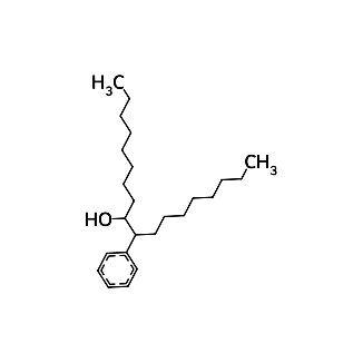 CCCCCCCCC(O)C(CCCCCCCC)c1ccccc1